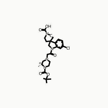 C[C@@H]1CN(CC(=O)N2CC3(CCN(C(=O)O)CC3)c3ccc(Cl)cc32)CCN1C(=O)OC(C)(C)C